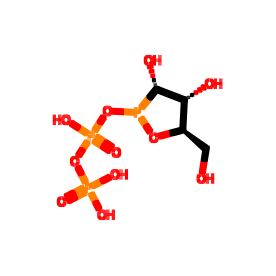 O=P(O)(O)OP(=O)(O)OP1O[C@H](CO)[C@@H](O)[C@H]1O